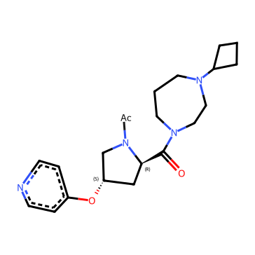 CC(=O)N1C[C@@H](Oc2ccncc2)C[C@@H]1C(=O)N1CCCN(C2CCC2)CC1